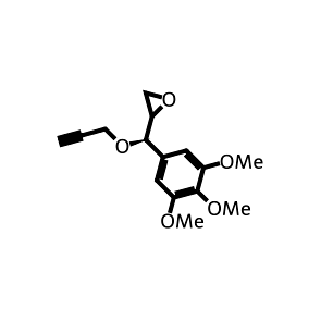 C#CCO[C@H](c1cc(OC)c(OC)c(OC)c1)C1CO1